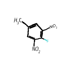 Cc1cc([N+](=O)[O-])c(F)c([N+](=O)[O-])c1